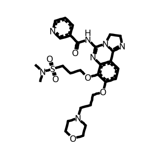 CN(C)S(=O)(=O)CCCOc1c(OCCCN2CCOCC2)ccc2c1N=C(NC(=O)c1cccnc1)N1CCN=C21